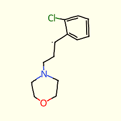 Clc1ccccc1[CH]CCN1CCOCC1